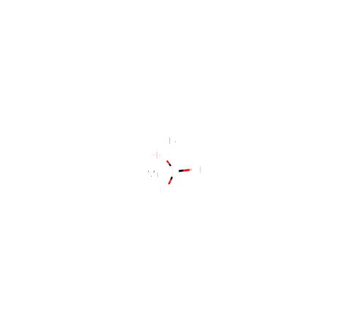 OB(O)O.[Fe].[Mn]